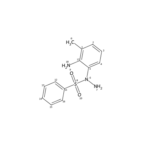 Cc1cccc(N(N)S(=O)(=O)c2ccccc2)c1N